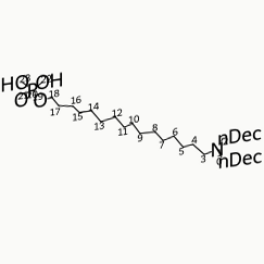 CCCCCCCCCCN(CCCCCCCCCC)CCCCCCCCCCCCCCCCOP(=O)(O)O